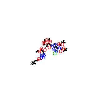 C#C[C@@]1(OC(C)=O)[C@@H](COC(C(=O)OCC)c2nnn(COCC[Si](C)(C)C)n2)O[C@@H](n2cnc3c(N(C(=O)OC(C)(C)C)C(=O)OC(C)(C)C)nc(Cl)nc32)[C@@H]1OC(C)=O